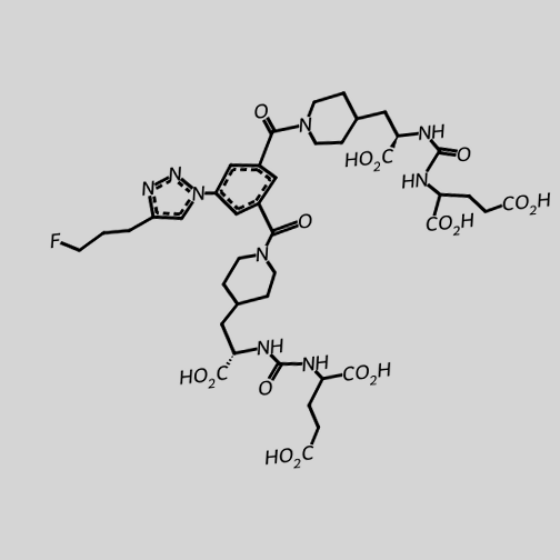 O=C(O)CCC(NC(=O)N[C@@H](CC1CCN(C(=O)c2cc(C(=O)N3CCC(C[C@@H](NC(=O)NC(CCC(=O)O)C(=O)O)C(=O)O)CC3)cc(-n3cc(CCCF)nn3)c2)CC1)C(=O)O)C(=O)O